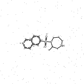 CC1CNCCCN1S(=O)(=O)c1ccc2cnccc2c1